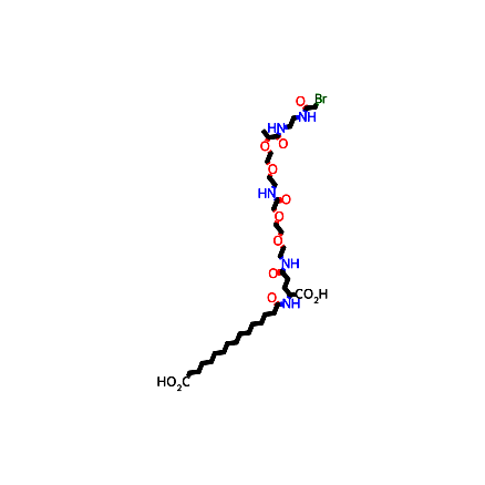 CC(OCCOCCNC(=O)COCCOCCNC(=O)CCC(NC(=O)CCCCCCCCCCCCCCC(=O)O)C(=O)O)C(=O)NCCNC(=O)CBr